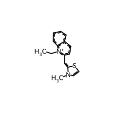 CC[n+]1c(/C=C2\SC=CN2C)ccc2ccccc21